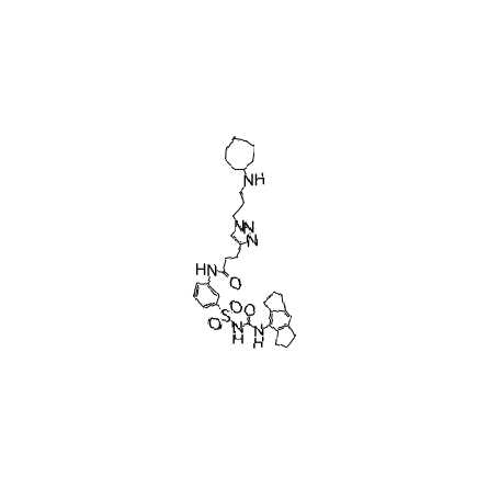 O=C(CCc1cn(CCCNC2CCCCCCC2)nn1)Nc1cccc(S(=O)(=O)NC(=O)Nc2c3c(cc4c2CCC4)CCC3)c1